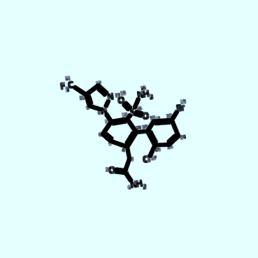 NC(=O)Cc1ccc(-n2cc(C(F)(F)F)cn2)c(S(N)(=O)=O)c1-c1cc(Br)ccc1Cl